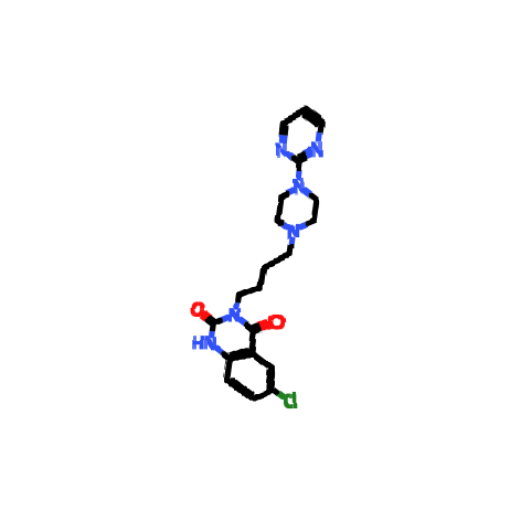 O=c1[nH]c2ccc(Cl)cc2c(=O)n1CCCCN1CCN(c2ncccn2)CC1